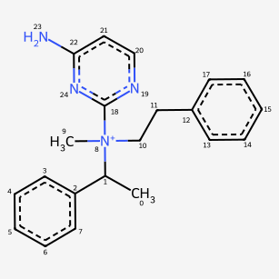 CC(c1ccccc1)[N+](C)(CCc1ccccc1)c1nccc(N)n1